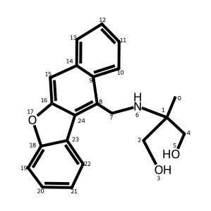 CC(CO)(CO)NCc1c2ccccc2cc2oc3ccccc3c12